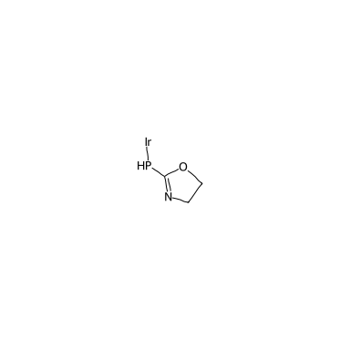 [Ir][PH]C1=NCCO1